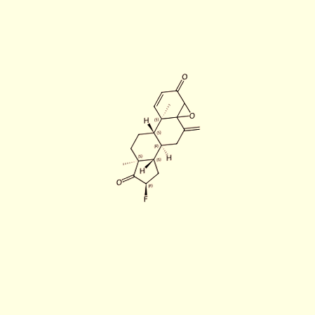 C=C1C[C@H]2[C@@H]3C[C@@H](F)C(=O)[C@@]3(C)CC[C@@H]2[C@@]2(C)C=CC(=O)C3OC132